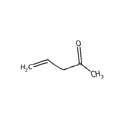 C=[C]CC(C)=O